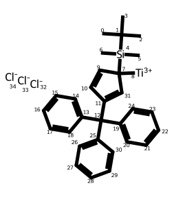 CC(C)(C)[Si](C)(C)[C]1([Ti+3])C=CC(C(c2ccccc2)(c2ccccc2)c2ccccc2)=C1.[Cl-].[Cl-].[Cl-]